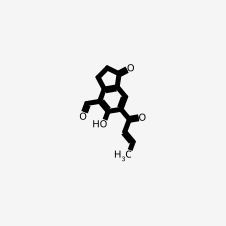 C/C=C/C(=O)c1cc2c(c(C=O)c1O)CCC2=O